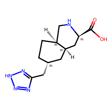 O=C(O)[C@H]1C[C@H]2C[C@H](Cc3nn[nH]n3)CC[C@H]2CN1